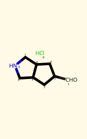 Cl.O=CC1CC2CNCC2C1